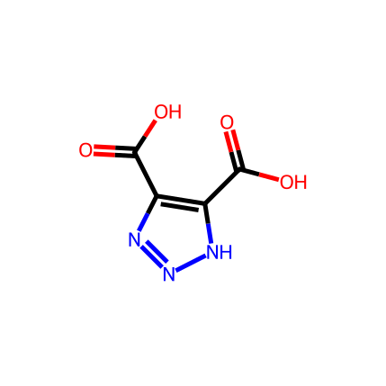 O=C(O)c1nn[nH]c1C(=O)O